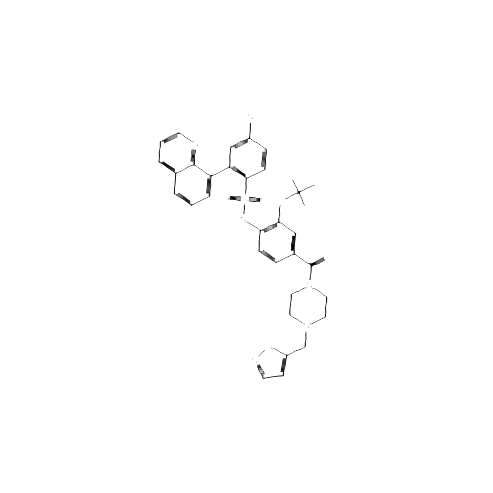 Nc1ccc(S(=O)(=O)Nc2ccc(C(=O)N3CCN(Cc4ccn[nH]4)CC3)cc2OC(F)(F)F)c(-c2cccc3cccnc23)c1